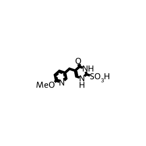 COc1ccc(CC2=CNC(S(=O)(=O)O)NC2=O)cn1